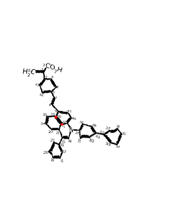 C=C(C(=O)O)c1ccc(C=Cc2ccc(N(C=C(c3ccccc3)c3ccccc3)c3ccc(-c4ccccc4)cc3)cc2)cc1